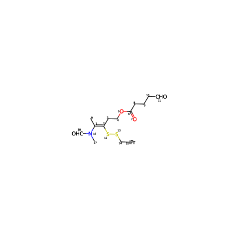 C/C(=C(\CCOC(=O)CCCC=O)SSCC(C)C)N(C)C=O